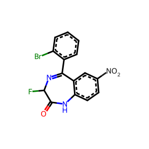 O=C1Nc2ccc([N+](=O)[O-])cc2C(c2ccccc2Br)=NC1F